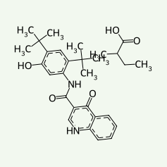 CC(C)(C)c1cc(C(C)(C)C)c(NC(=O)c2c[nH]c3ccccc3c2=O)cc1O.CCC(C)C(=O)O